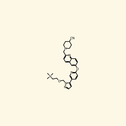 C[Si](C)(C)CCOCn1nccc1-c1ccc(Oc2ccc3nc(CN4CCC(C#N)CC4)ccc3c2)nc1